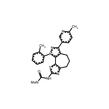 CNC(=O)Nc1nc2c(s1)-c1c(c(-c3ccc(C)nc3)nn1-c1ccccc1C)CCC2